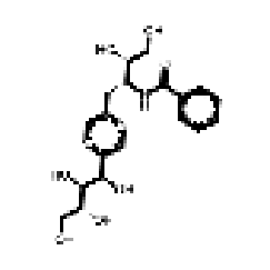 O=C(N[C@H](Cc1cnc([C@@H](O)[C@H](O)[C@H](O)CO)cn1)[C@H](O)CO)c1ccccc1